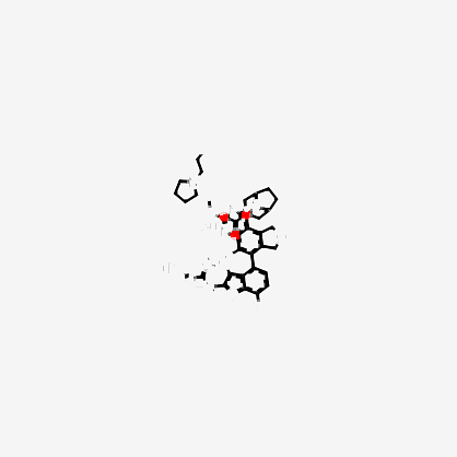 CC(C)(C)OC(=O)Nc1sc2c(F)ccc(-c3c4c(c5c(N6C7CCC6CN(C(=O)OC(C)(C)C)C7)nc(OC[C@@H]6CCCN6CCF)nc5c3F)COC4)c2c1C#N